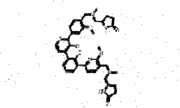 COc1cc(-c2nccc(-c3cccc(-c4ccc(CN(C)CC5CCC(=O)N5)c(OC)n4)c3Cl)c2Cl)ccc1CN(C)CC1CCC(=O)N1